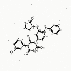 Cc1cccc(-n2c(=O)[nH]c(=O)n(-c3ccc(Oc4ccccc4)c(CN4CCCC4=O)c3)c2=O)c1